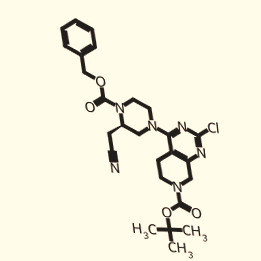 CC(C)(C)OC(=O)N1CCc2c(nc(Cl)nc2N2CCN(C(=O)OCc3ccccc3)[C@H](CC#N)C2)C1